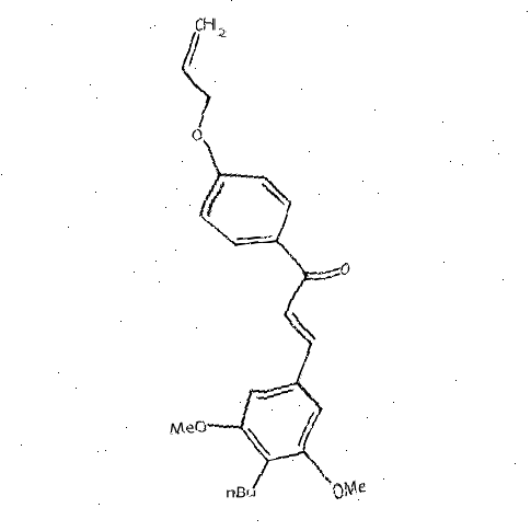 C=CCOc1ccc(C(=O)C=Cc2cc(OC)c(CCCC)c(OC)c2)cc1